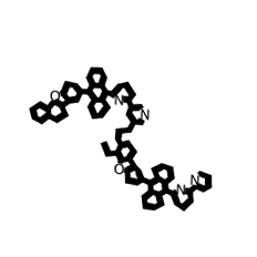 C=Cc1c(/C=C\Cc2cncc(-c3cccc(-c4c5ccccc5c(-c5ccc6oc7c8ccccc8ccc7c6c5)c5ccccc45)n3)c2)ccc2c1oc1ccc(-c3c4ccccc4c(-c4cccc(-c5ccccn5)n4)c4ccccc34)cc12